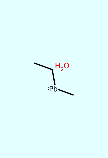 C[CH2][Pb][CH3].O